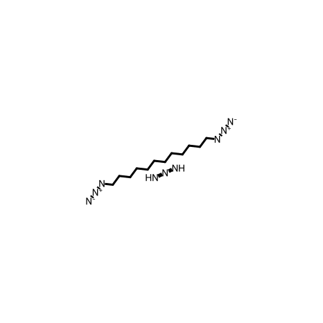 N=[N+]=N.[N-]=[N+]=NCCCCCCCCCCCCN=[N+]=[N-]